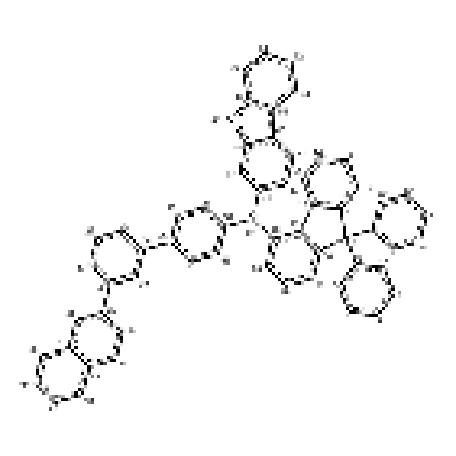 c1ccc(C2(c3ccccc3)c3ccccc3-c3c(N(c4ccc(-c5cccc(-c6ccc7ccccc7c6)c5)cc4)c4ccc5c(c4)sc4ccccc45)cccc32)cc1